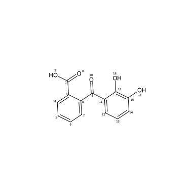 O=C(O)c1ccccc1C(=O)c1cccc(O)c1O